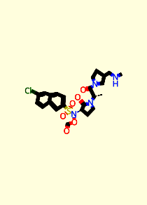 CNCC1CCN(C(=O)[C@H](C)N2CC[C@H](N(OC=O)S(=O)(=O)c3ccc4cc(Cl)ccc4c3)C2=O)C1